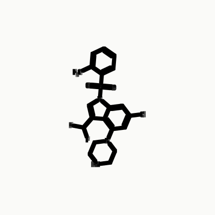 O=S(=O)(c1ccccc1C(F)(F)F)n1cc(C(F)F)c2c(N3CCNCC3)cc(Cl)cc21